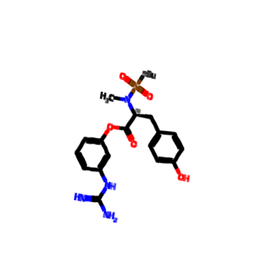 CCCCS(=O)(=O)N(C)[C@@H](Cc1ccc(O)cc1)C(=O)Oc1cccc(NC(=N)N)c1